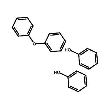 Oc1ccccc1.Oc1ccccc1.c1ccc(Oc2ccccc2)cc1